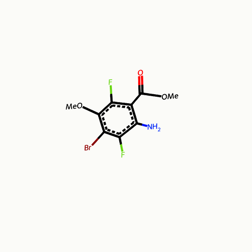 COC(=O)c1c(N)c(F)c(Br)c(OC)c1F